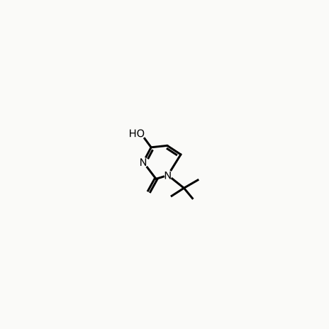 C=C1N=C(O)C=CN1C(C)(C)C